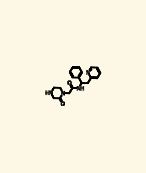 O=C(CN1CCNCC1=O)NC(Cc1ccccn1)c1ccccc1